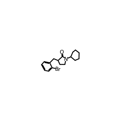 O=C1C(Cc2ccccc2Br)CCN1C1CCCCC1